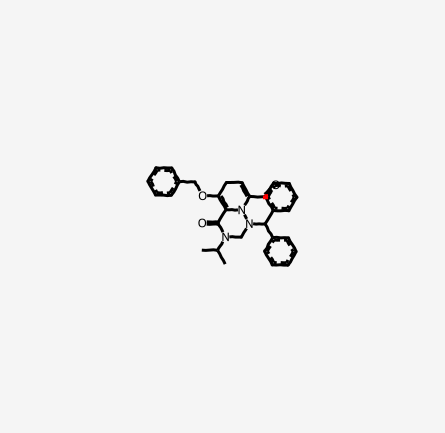 CC(C)N1CN(C(c2ccccc2)c2ccccc2)N2C(C=O)=CCC(OCc3ccccc3)=C2C1=O